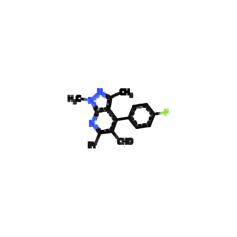 Cc1nn(C)c2nc(C(C)C)c(C=O)c(-c3ccc(F)cc3)c12